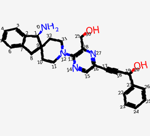 N[C@@H]1c2ccccc2CC12CCN(c1ncc(C#CC(O)c3ccccc3)nc1CO)CC2